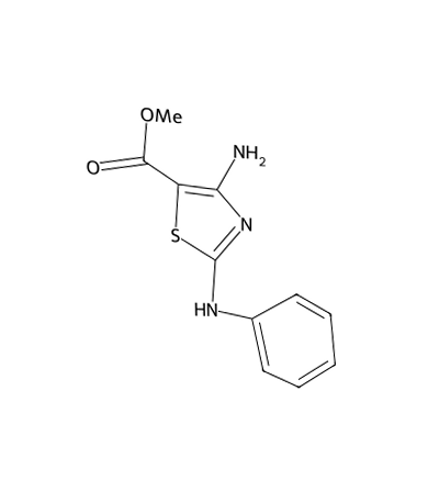 COC(=O)c1sc(Nc2ccccc2)nc1N